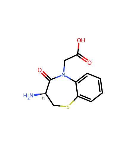 N[C@@H]1CSc2ccccc2N(CC(=O)O)C1=O